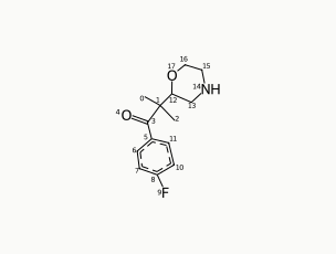 CC(C)(C(=O)c1ccc(F)cc1)C1CNCCO1